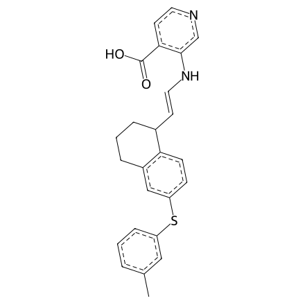 Cc1cccc(Sc2ccc3c(c2)CCCC3/C=C/Nc2cnccc2C(=O)O)c1